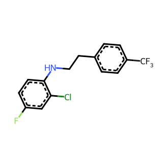 Fc1ccc(NCCc2ccc(C(F)(F)F)cc2)c(Cl)c1